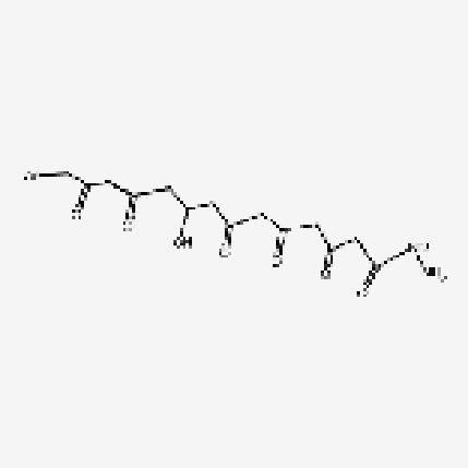 CC(=O)CC(=O)CC(=O)CC(O)CC(=O)CC(=O)CC(=O)CC(=O)NN